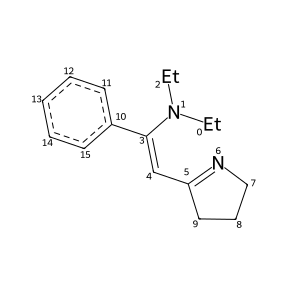 CCN(CC)C(=CC1=NCCC1)c1ccccc1